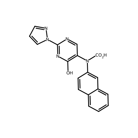 O=C(O)N(c1ccc2ccccc2c1)c1cnc(-n2cccn2)nc1O